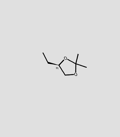 CC[C@@H]1COC(C)(C)O1